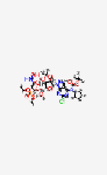 CCOP(=O)(OCC)[C@@](COC)(CC(=O)NO)OC[C@H]1O[C@@H](n2ncc3c(N(C(=O)OC(C)(C)C)C4CCCC4)nc(Cl)nc32)[C@@H]2OC(C)(C)O[C@@H]21